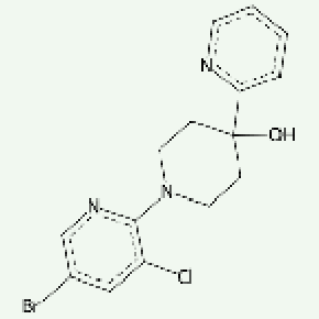 OC1(c2ccccn2)CCN(c2ncc(Br)cc2Cl)CC1